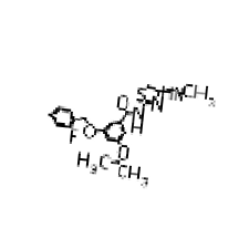 CNCC1CSC(NC(=O)c2cc(OCc3ccccc3F)cc(OC(C)C)c2)=N1